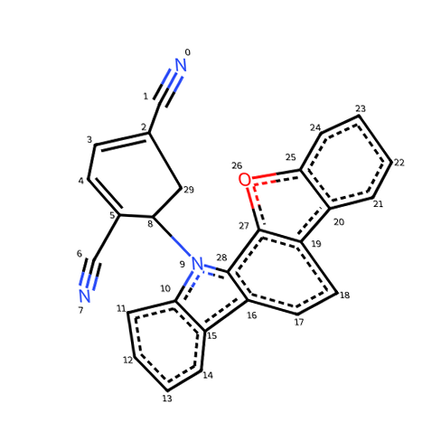 N#CC1=CC=C(C#N)C(n2c3ccccc3c3ccc4c5ccccc5oc4c32)C1